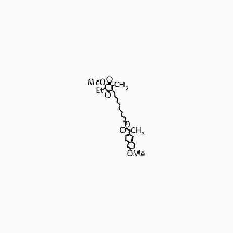 CCC1=C(OC)C(=O)C(C)=C(CCCCCCCCCCOC(=O)[C@@H](C)c2ccc3cc(OC)ccc3c2)C1=O